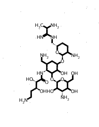 CC(N)C(=N)NC[C@@H]1CCC(N)[C@@H](OC2CC(CN)[C@@H](NC(=O)[C@@H](O)[C@@H](O)CCN)C(O[C@H]3OC(CO)C(O)[C@H](N)C3O)C2O)O1